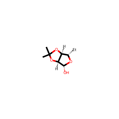 CC[C@@H]1O[C@H](O)[C@H]2OC(C)(C)O[C@H]21